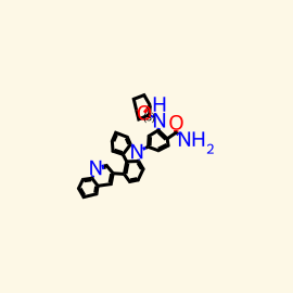 NC(=O)c1ccc(-n2c3ccccc3c3c(-c4cnc5ccccc5c4)cccc32)cc1N[C@H]1CC2CCC1O2